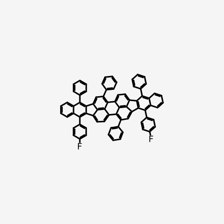 Fc1ccc(-c2c3c(c(-c4ccccc4)c4ccccc24)-c2cc(-c4ccccc4)c4c5ccc6c7c(cc(-c8ccccc8)c(c8ccc-3c2c84)c75)-c2c-6c(-c3ccccc3)c3ccccc3c2-c2ccc(F)cc2)cc1